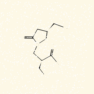 CC[C@@H](CN1C[C@H](CI)CC1=O)C(N)=O